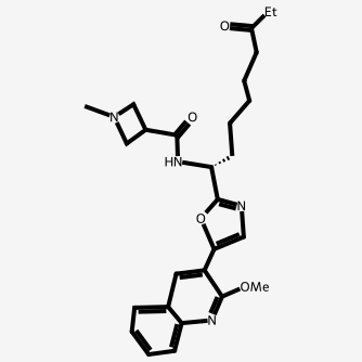 CCC(=O)CCCCC[C@@H](NC(=O)C1CN(C)C1)c1ncc(-c2cc3ccccc3nc2OC)o1